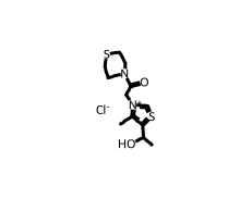 Cc1c(C(C)O)sc[n+]1CC(=O)N1CCSCC1.[Cl-]